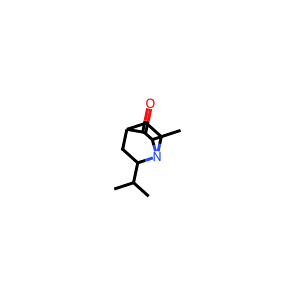 CC(C)C1CC2CCN1C(C)C2=O